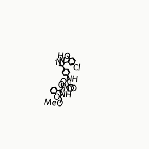 COCC(=O)N[C@@H](C(=O)N1CCOC[C@H]1C(=O)Nc1ccc(-c2cn(C)nc2-c2cc(Cl)ccc2O)cc1)c1ccccc1